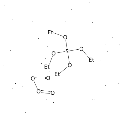 CCO[Si](OCC)(OCC)OCC.O=[O+][O-].[O]